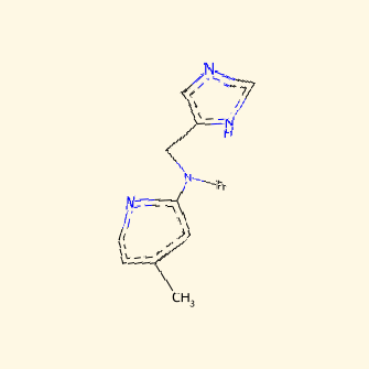 Cc1ccnc(N(Cc2cnc[nH]2)C(C)C)c1